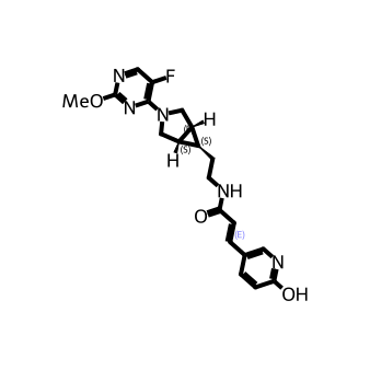 COc1ncc(F)c(N2C[C@@H]3[C@@H](CCNC(=O)/C=C/c4ccc(O)nc4)[C@@H]3C2)n1